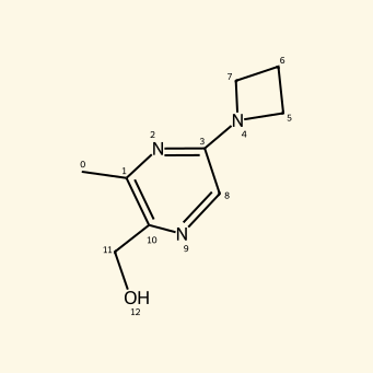 Cc1nc(N2CCC2)cnc1CO